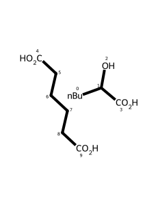 CCCCC(O)C(=O)O.O=C(O)CCCCC(=O)O